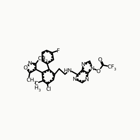 Cc1noc(C)c1-c1c(C)c(Cl)cc(CCNc2ncnc3c2ncn3OC(=O)C(F)(F)F)c1-c1cccc(F)c1